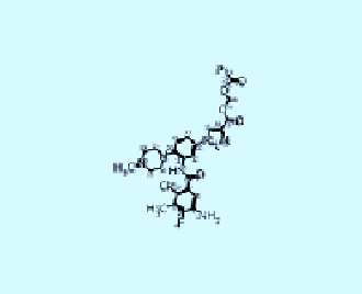 Cc1c(F)c(N)cc(C(=O)Nc2cc(-n3cc(C(=O)OCOC(=O)C(C)C)nn3)ccc2N2CCN(C)CC2)c1Cl